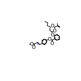 C=C(C)C(=O)OC(CCCCC)Oc1ccccc1C(=O)Oc1ccc(/C=C/C(=O)OC)cc1